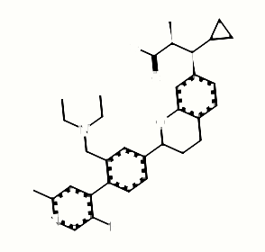 CCN(CC)Cc1cc(C2CCc3ccc([C@H](C4CC4)[C@H](C)C(=O)O)cc3O2)ccc1-c1cc(C)ncc1F